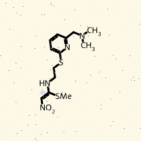 CS/C(=C\[N+](=O)[O-])NCCSc1cccc(CN(C)C)n1